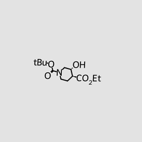 CCOC(=O)[C@H]1CCN(C(=O)OC(C)(C)C)C[C@@H]1O